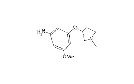 COc1cc(N)cc(OC2CCN(C)C2)c1